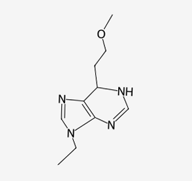 CCn1cnc2c1N=CNC2CCOC